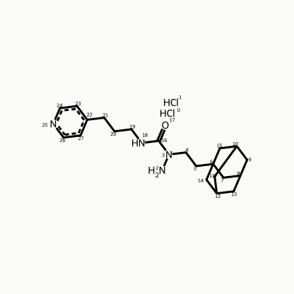 Cl.Cl.NN(CCC12CC3CC(CC(C3)C1)C2)C(=O)NCCCc1ccncc1